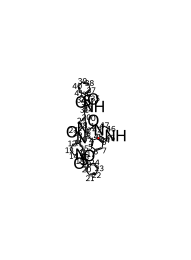 O=C(c1c(-c2ccccc2)n(C2CCCN(S(=O)(=O)c3ccccc3)C2)c(=O)n1CCCNS(=O)(=O)c1ccccc1)N1CCNCC1